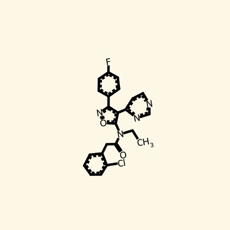 CCN(C(=O)Cc1ccccc1Cl)c1onc(-c2ccc(F)cc2)c1-c1ccncn1